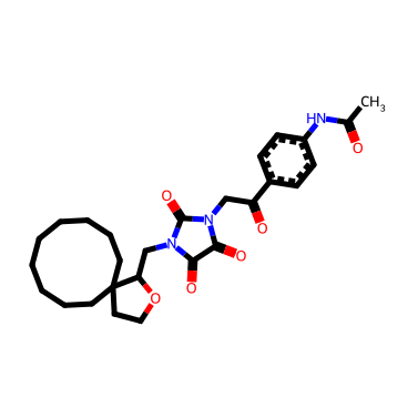 CC(=O)Nc1ccc(C(=O)CN2C(=O)C(=O)N(CC3OCCC34CCCCCCCCC4)C2=O)cc1